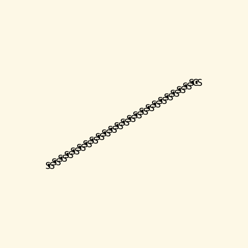 S=C=S=S=S=S=S=S=S=S=S=S=S=S=S=S=S=S=S=S=S=S=S=S=S=S=S=S=S=S=S=S=S=S=S=S=S=S=S=S=S=S=S=S=S=S=S=S=S